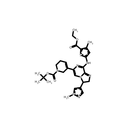 CCOC(=O)c1sc(NC2=NC(C3=CCCN(C(=O)OC(C)(C)C)C3)=CN3C2=NCC3c2cnn(C)c2)cc1C